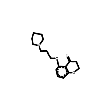 O=C1CCOc2cccc(OCCCN3CCCCC3)c21